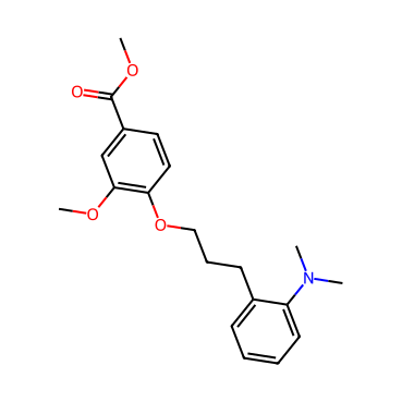 COC(=O)c1ccc(OCCCc2ccccc2N(C)C)c(OC)c1